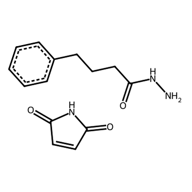 NNC(=O)CCCc1ccccc1.O=C1C=CC(=O)N1